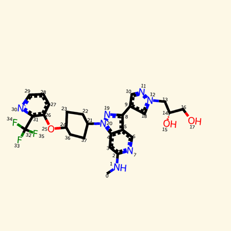 CNc1cc2c(cn1)c(-c1cnn(C[C@@H](O)CO)c1)nn2C1CCC(Oc2cccnc2C(F)(F)F)CC1